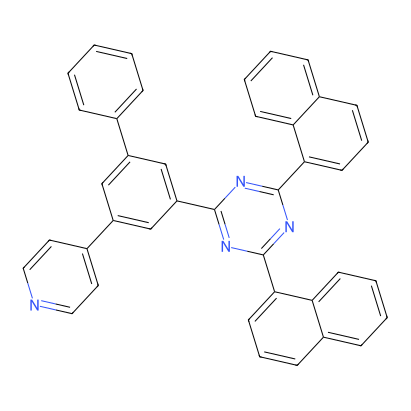 c1ccc(-c2cc(-c3ccncc3)cc(-c3nc(-c4cccc5ccccc45)nc(-c4cccc5ccccc45)n3)c2)cc1